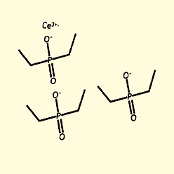 CCP(=O)([O-])CC.CCP(=O)([O-])CC.CCP(=O)([O-])CC.[Ce+3]